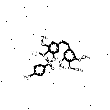 COc1cc(/C=C\c2cc(OC)c(OC)c(OC)c2)cc(NS(=O)(=O)c2ccc(N)cc2)c1OC